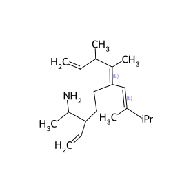 C=CC(C)/C(C)=C(/C=C(\C)C(C)C)CCC(C=C)C(C)N